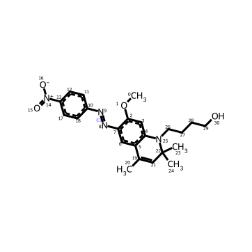 COc1cc2c(cc1/N=N/c1ccc([N+](=O)[O-])cc1)C(C)=CC(C)(C)N2CCCCO